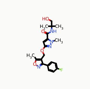 Cc1onc(-c2ccc(F)cc2)c1COc1cc(C(=O)NC(C)(C)CO)n(C)n1